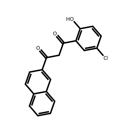 O=C(CC(=O)c1cc(Cl)ccc1O)c1ccc2ccccc2c1